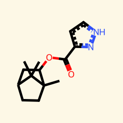 CC1(C)C2CCC1(C)C(OC(=O)c1cc[nH]n1)C2